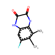 O=C1[N]c2c(cc(F)c(C(F)(F)F)c2[N+](=O)[O-])NC1=O